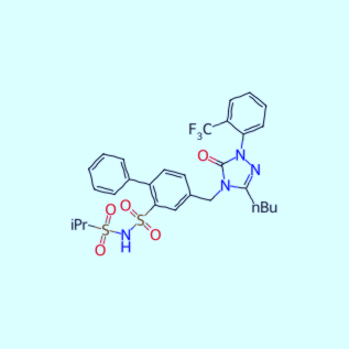 CCCCc1nn(-c2ccccc2C(F)(F)F)c(=O)n1Cc1ccc(-c2ccccc2)c(S(=O)(=O)NS(=O)(=O)C(C)C)c1